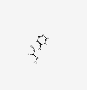 [CH2]C(OCC)C(=O)Oc1ccccc1